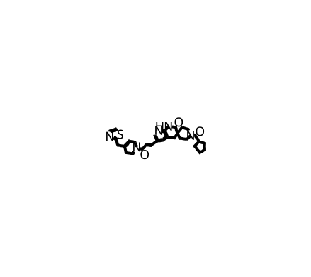 O=C(/C=C/c1cnc2c(c1)CC1(CCN(C(=O)C3CCCC3)CC1)C(=O)N2)N1CC=C(Cc2nccs2)CC1